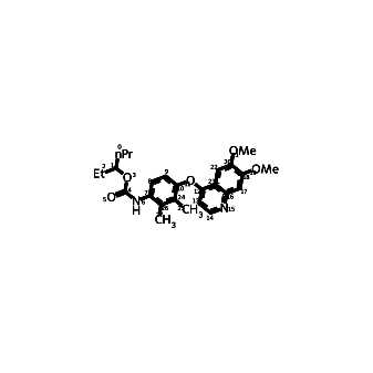 CCCC(CC)OC(=O)Nc1ccc(Oc2ccnc3cc(OC)c(OC)cc23)c(C)c1C